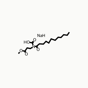 CCCCCCCCCCCC(=O)N(CCC(=O)OC)C(=O)O.[NaH]